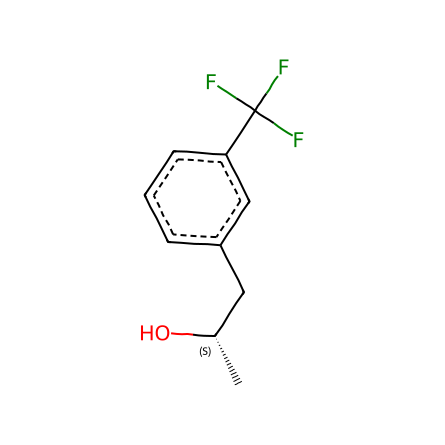 C[C@H](O)Cc1cccc(C(F)(F)F)c1